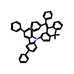 CC1(C)c2ccccc2C(=C(c2ccccc2)c2ccccc2)c2cc(-n3c4ccc(-c5ccccc5)cc4c4cc(-c5ccccc5)ccc43)ccc21